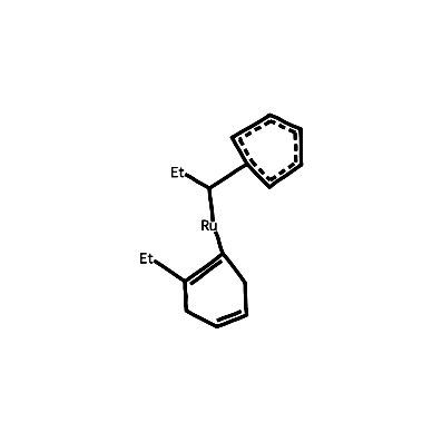 CCC1=[C]([Ru][CH](CC)c2ccccc2)CC=CC1